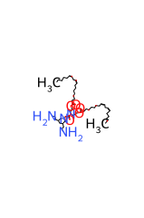 CCCCC/C=C\C/C=C\CCCCCCCC(=O)OCCN(CCOC(=O)CCCCCCC/C=C\C/C=C\CCCCC)C(=O)CN1CC(CCN)CC(CCN)C1